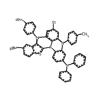 CCc1cc2c3c(c1)N(c1ccc(C(C)(C)C)cc1)c1c(sc4ccc(C(C)(C)C)cc14)B3c1ccc(N(c3ccccc3)c3ccccc3)cc1N2c1ccc(C)cc1